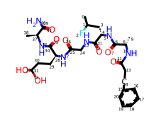 CC(F)C[C@H](NC(=O)[C@H](C)NC(=O)CCc1ccccc1)C(=O)NCC(=O)N[C@@H](CCC(O)O)C(=O)N[C@@H](C)C(N)=O